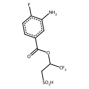 Nc1cc(C(=O)OC(CS(=O)(=O)O)C(F)(F)F)ccc1F